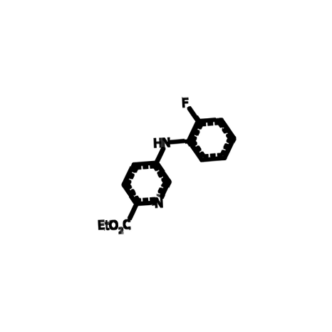 CCOC(=O)c1ccc(Nc2ccccc2F)cn1